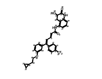 O=C(/C=C/C=C(\c1ccc(C(F)(F)F)cc1)c1cccc(OCCC2CC2)c1)Nc1cccc2c1CC(O)C(=O)N2